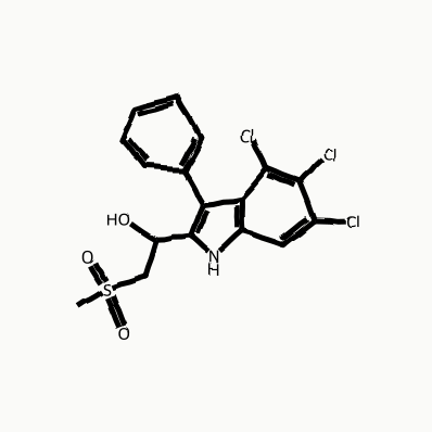 CS(=O)(=O)CC(O)c1[nH]c2cc(Cl)c(Cl)c(Cl)c2c1-c1ccccc1